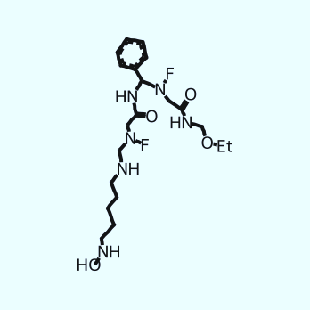 CCOCNC(=O)CN(F)C(NC(=O)CN(F)CNCCCCCNO)c1ccccc1